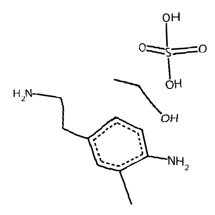 CCO.Cc1cc(CCN)ccc1N.O=S(=O)(O)O